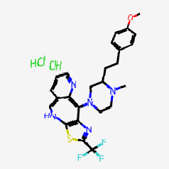 COc1ccc(CCC2CN(C3=c4ncccc4=CNc4sc(C(F)(F)F)nc43)CCN2C)cc1.Cl.Cl